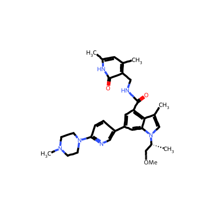 COC[C@@H](C)n1cc(C)c2c(C(=O)NCc3c(C)cc(C)[nH]c3=O)cc(-c3ccc(N4CCN(C)CC4)nc3)cc21